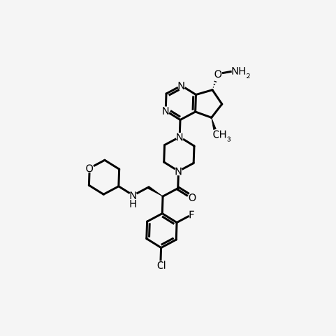 C[C@@H]1C[C@@H](ON)c2ncnc(N3CCN(C(=O)[C@H](CNC4CCOCC4)c4ccc(Cl)cc4F)CC3)c21